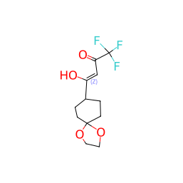 O=C(/C=C(\O)C1CCC2(CC1)OCCO2)C(F)(F)F